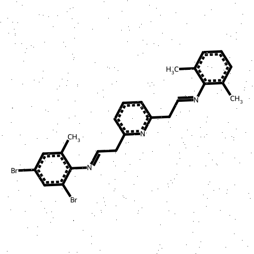 Cc1cccc(C)c1N=CCc1cccc(CC=Nc2c(C)cc(Br)cc2Br)n1